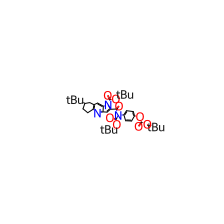 CC(C)(C)OC(=O)Oc1ccc(N(C(=O)OC(C)(C)C)C(=O)c2cc3nc4c(cc3n2C(=O)OC(C)(C)C)C[C@H](C(C)(C)C)CC4)cc1